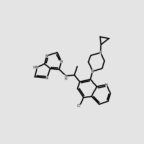 CC(Nc1ncnc2[nH]cnc12)c1cc(Cl)c2cccnc2c1N1CCN(C2CC2)CC1